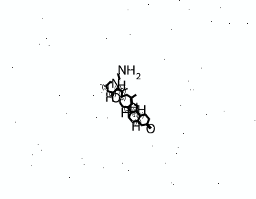 CC1=C2C[C@H]3[C@@H](CC[C@@H]4CC(=O)CC[C@@]43C)[C@@H]2CC[C@@]2(C1)O[C@@H]1C[C@H](C)CN(CCN)[C@H]1[C@H]2C